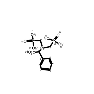 O=C(O)C(c1ccccc1)N(CP(=O)(O)O)CP(=O)(O)O